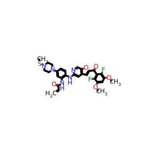 C=CC(=O)Nc1cc(N2CCN(SC)CC2)ccc1Nc1cc2cc(C(=O)c3c(F)c(OC)cc(OC)c3F)oc2cn1